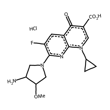 COC1CN(c2nc3c(cc2F)c(=O)c(C(=O)O)cn3C2CC2)CC1N.Cl